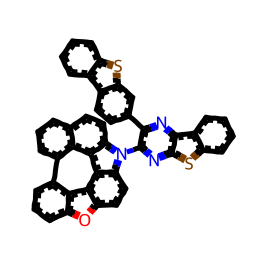 c1cc2c3c(c1)ccc1c3c3c4c(ccc3n1-c1nc3sc5ccccc5c3nc1-c1ccc3c(c1)sc1ccccc13)oc1cccc-2c14